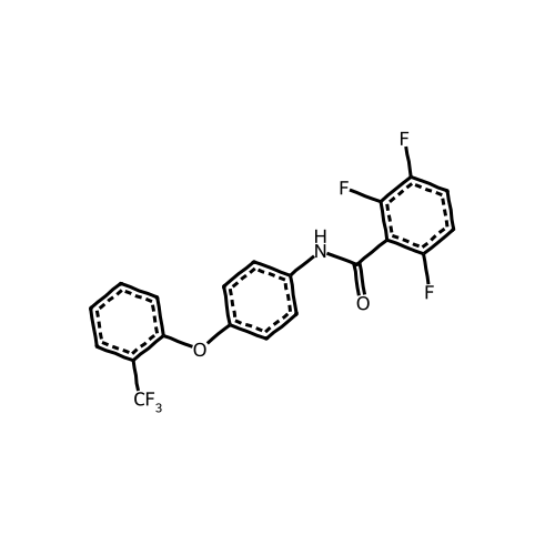 O=C(Nc1ccc(Oc2ccccc2C(F)(F)F)cc1)c1c(F)ccc(F)c1F